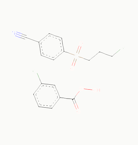 N#Cc1ccc(S(=O)(=O)CCCBr)cc1.O=C(OO)c1cccc(Cl)c1